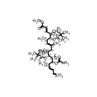 C=CC=C[C@H](C)[C@H](OC(N)=O)[C@@H](C)[C@H](O[Si](C)(C)C(C)(C)C)[C@@H](C)CC(C)=C[C@H](C)[C@@H](O[Si](C)(C)C(C)(C)C)[C@@H](C)C=CC(=O)OC